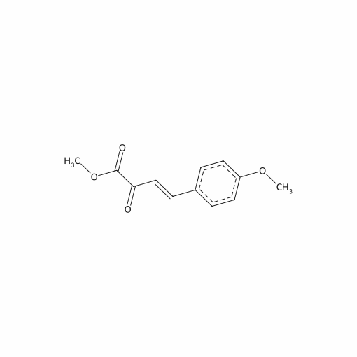 COC(=O)C(=O)/C=C/c1ccc(OC)cc1